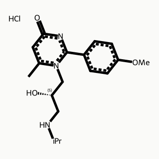 COc1ccc(-c2nc(=O)cc(C)n2C[C@@H](O)CNC(C)C)cc1.Cl